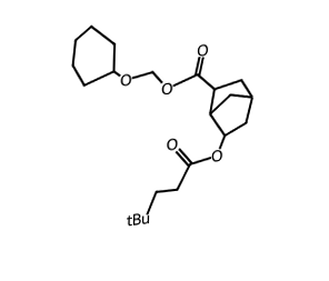 CC(C)(C)CCC(=O)OC1CC2CC(C(=O)OCOC3CCCCC3)C1C2